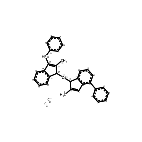 CC1=Cc2c(-c3ccccc3)cccc2[CH]1[Zr+2][CH]1C(C)=C(Pc2ccccc2)c2ccccc21.[Cl-].[Cl-]